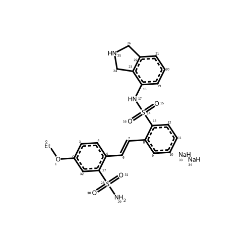 CCOc1ccc(C=Cc2ccccc2S(=O)(=O)Nc2cccc3c2CNC3)c(S(N)(=O)=O)c1.[NaH].[NaH]